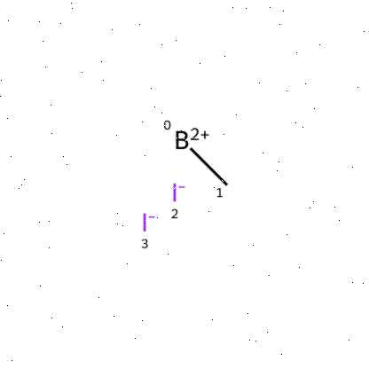 [B+2]C.[I-].[I-]